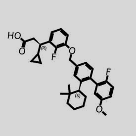 COc1ccc(F)c(-c2ccc(COc3cccc([C@H](CC(=O)O)C4CC4)c3F)cc2[C@H]2CCCCC2(C)C)c1